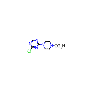 O=C(O)N1CCN(c2ncnc(Cl)n2)CC1